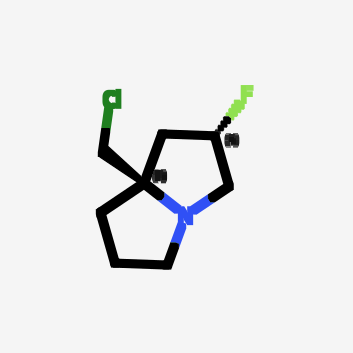 F[C@@H]1CN2CCC[C@]2(CCl)C1